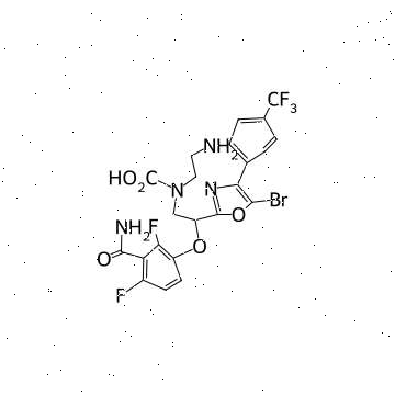 NCCN(CC(Oc1ccc(F)c(C(N)=O)c1F)c1nc(-c2ccc(C(F)(F)F)cc2)c(Br)o1)C(=O)O